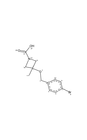 CC1(OCc2ccc(Br)cc2)CN(C(=O)O)C1